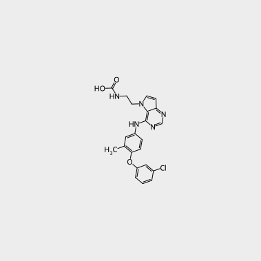 Cc1cc(Nc2ncnc3ccn(CCNC(=O)O)c23)ccc1Oc1cccc(Cl)c1